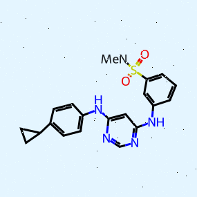 CNS(=O)(=O)c1cccc(Nc2cc(Nc3ccc(C4CC4)cc3)ncn2)c1